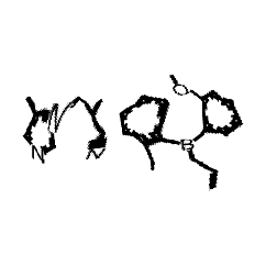 C=CCB(c1ccccc1C)c1ccccc1OC.Cc1cncn1CC(C)C#N